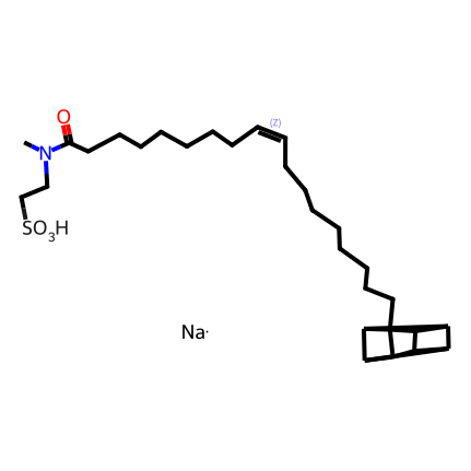 CN(CCS(=O)(=O)O)C(=O)CCCCCCC/C=C\CCCCCCCCC12C3C4C5C3C1C5C42.[Na]